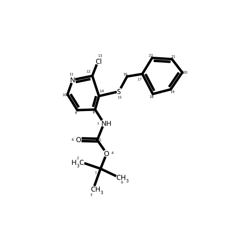 CC(C)(C)OC(=O)Nc1ccnc(Cl)c1SCc1ccccc1